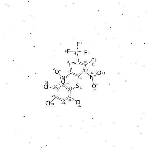 O=[N+]([O-])c1cc(C(F)(F)F)c(Cl)c([N+](=O)[O-])c1Sc1cc(Cl)c(Cl)cc1Cl